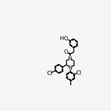 Cc1ccc(N2CCN(C(=O)Cc3cccc(O)c3)CC2c2ccc(Cl)cc2)c(Cl)c1